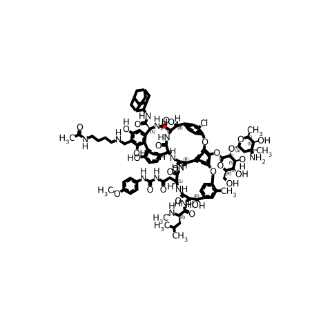 CN[C@H](CC(C)C)C(=O)N[C@H]1C(=O)N[C@@H](CC(=O)NC(=O)Nc2ccc(OC)cc2)C(=O)N[C@H]2C(=O)N[C@H]3C(=O)N[C@H](C(=O)N[C@H](C(=O)NC4C5CC6CC(C5)CC4C6)c4cc(O)c(CNCCCCNC(C)=O)c(O)c4-c4cc3ccc4O)[C@H](O)c3ccc(c(Cl)c3)Oc3cc2cc(c3O[C@@H]2O[C@H](CO)[C@@H](O)[C@H](O)[C@H]2O[C@H]2C[C@](C)(N)[C@H](O)[C@H](C)O2)Oc2ccc(cc2C)[C@H]1O